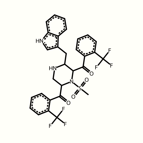 CS(=O)(=O)N1C(C(=O)c2ccccc2C(F)(F)F)CNC(Cc2c[nH]c3ccccc23)C1C(=O)c1ccccc1C(F)(F)F